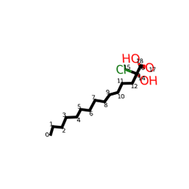 CCCCCCCCCCCCCC(O)(Cl)C(=O)O